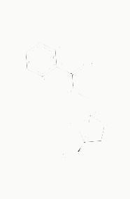 CC(=O)O[C@@H]1CS[C@@H](COC(=O)c2ccccc2)S1